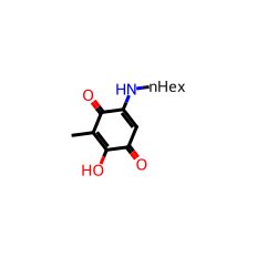 CCCCCCNC1=CC(=O)C(O)=C(C)C1=O